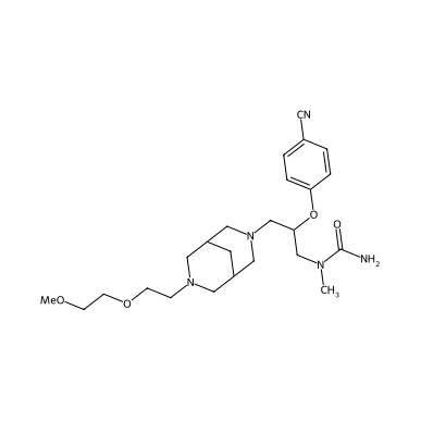 COCCOCCN1CC2CC(C1)CN(CC(CN(C)C(N)=O)Oc1ccc(C#N)cc1)C2